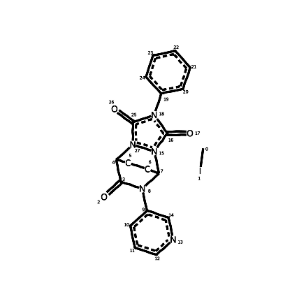 CI.O=C1C2CCC(N1c1cccnc1)n1c(=O)n(-c3ccccc3)c(=O)n12